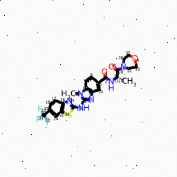 C[C@H](NC(=O)c1ccc2c(c1)nc(Nc1nc3ccc(C(F)(F)F)cc3s1)n2C)C(=O)N1CCOCC1